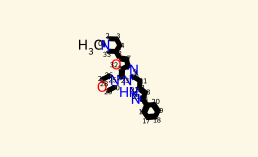 CN1CCCC(c2cc3nc(Cc4cc(-c5ccccc5)n[nH]4)nc(N4CCOCC4)c3o2)C1